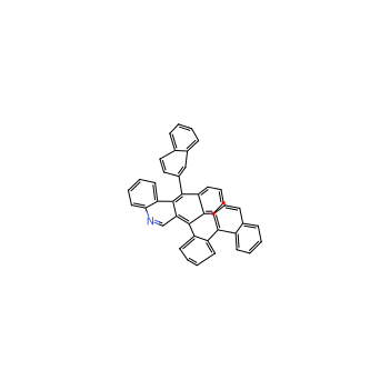 c1ccc(-c2c3ccccc3c(-c3ccc4ccccc4c3)c3c2cnc2ccccc23)c(-c2cccc3ccccc23)c1